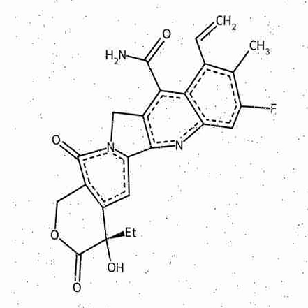 C=Cc1c(C)c(F)cc2nc3c(c(C(N)=O)c12)Cn1c-3cc2c(c1=O)COC(=O)[C@]2(O)CC